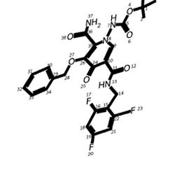 CC(C)(C)OC(=O)Nn1cc(C(=O)NCc2c(F)cc(F)cc2F)c(=O)c(OCc2ccccc2)c1C(N)=O